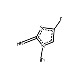 CC(C)n1cc(F)sc1=N